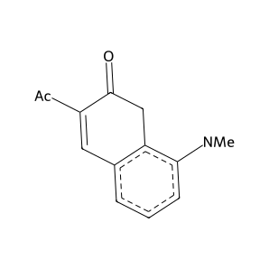 CNc1cccc2c1CC(=O)C(C(C)=O)=C2